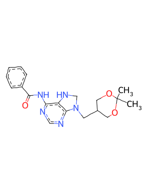 CC1(C)OCC(CN2CNc3c(NC(=O)c4ccccc4)ncnc32)CO1